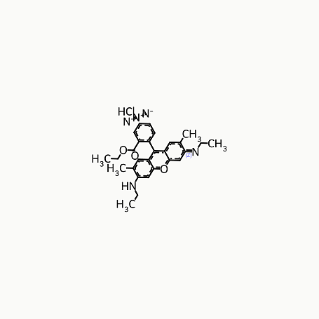 CC/N=c1/cc2oc3cc(NCC)c(C)cc3c(-c3ccccc3C(=O)OCC)c-2cc1C.Cl.[N-]=[N+]=[N-]